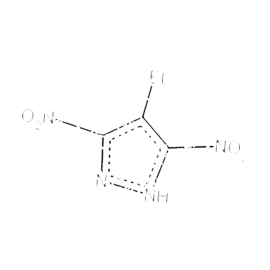 CCc1c([N+](=O)[O-])n[nH]c1[N+](=O)[O-]